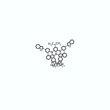 CC(C)c1cc2c3c(c1)N(c1ccc(-c4cc5ccccc5o4)cc1-c1ccccc1)c1sc4ccc(C(C)(C)C)cc4c1B3c1c(sc3ccc(C(C)(C)C)cc13)N2c1ccc(-c2cc3ccccc3o2)cc1-c1ccccc1